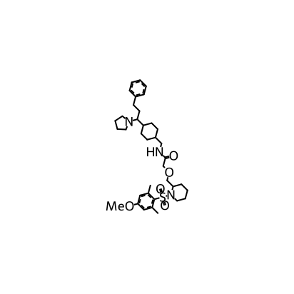 COc1cc(C)c(S(=O)(=O)N2CCCCC2COCC(=O)NCC2CCC(C(CCc3ccccc3)N3CCCC3)CC2)c(C)c1